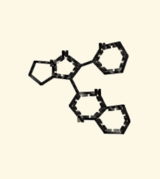 c1ccc(-c2nn3c(c2-c2cnc4ccccc4n2)CCC3)nc1